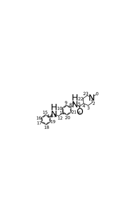 CN1CCC(C(=O)Nc2ccc(CNc3ccccc3)cc2)CC1